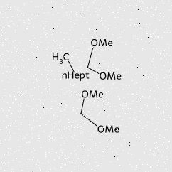 CCCCCCCC.COCOC.COCOC